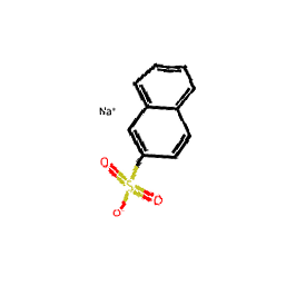 O=S(=O)([O-])c1ccc2ccccc2c1.[Na+]